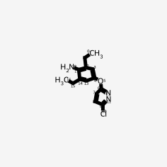 CCc1cc(Oc2ccc(Cl)nn2)cc(CC)c1N